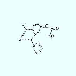 CC(=O)O.O=C=C(c1ccccc1)c1ccccc1[N+](=O)[O-]